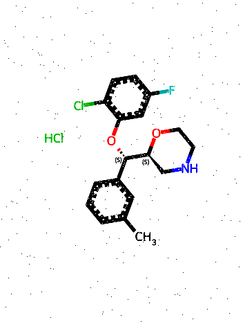 Cc1cccc([C@H](Oc2cc(F)ccc2Cl)[C@@H]2CNCCO2)c1.Cl